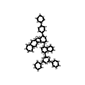 c1ccc(-c2ccc(-c3ccc(-c4ccc(-c5nc(-c6ccccc6)nc(-c6ccccc6)n5)c5ccccc45)c4c3oc3cc5ccccc5cc34)cc2)cc1